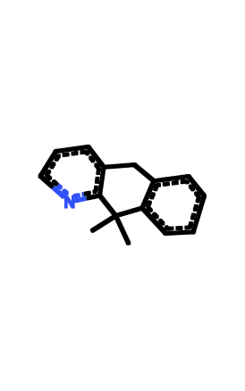 CC1(C)c2ccccc2Cc2cccnc21